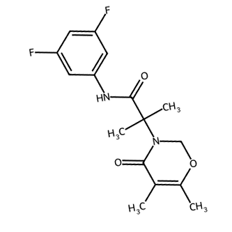 CC1=C(C)C(=O)N(C(C)(C)C(=O)Nc2cc(F)cc(F)c2)CO1